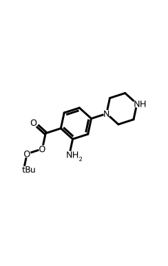 CC(C)(C)OOC(=O)c1ccc(N2CCNCC2)cc1N